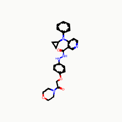 O=C(NNc1ccc(OCC(=O)N2CCOCC2)cc1)c1cnccc1N(c1ccccc1)C1CC1